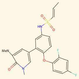 C/C=C/S(=O)(=O)Nc1ccc(Oc2ccc(F)cc2F)c(-c2cc(NC)c(=O)n(C)c2)c1